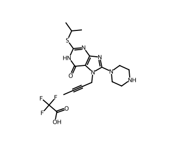 CC#CCn1c(N2CCNCC2)nc2nc(SC(C)C)[nH]c(=O)c21.O=C(O)C(F)(F)F